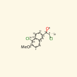 COc1ccc2cc(C(=O)[C@H](C)Cl)ccc2c1Cl